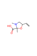 C=CC1CN(C)C(C)(C(=O)O)O1